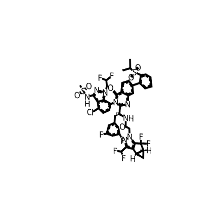 CC(C)S(=O)(=O)c1ccccc1-c1ccc2c(=O)n(-c3ccc(Cl)c4c(NS(C)(=O)=O)nn(CC(F)F)c34)c([C@H](Cc3cc(F)cc(F)c3)NC(=O)Cn3nc(C(F)F)c4c3C(F)(F)[C@@H]3C[C@H]43)nc2c1